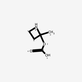 CC1(OC(=O)O)CCN1